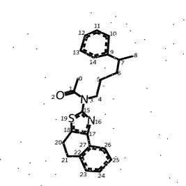 CC(=O)N(CCCC(C)c1ccccc1)c1nc2c(s1)CCc1ccccc1-2